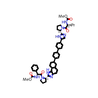 COC(=O)N[C@H](C(=O)N1CCC[C@H]1c1ncc(-c2ccc(-c3ccc(-c4ccc5c(ccc6nc([C@@H]7CCCN7C(=O)[C@H](NC(=O)OC)c7ccccc7)[nH]c65)c4)cc3)cc2)[nH]1)C(C)C